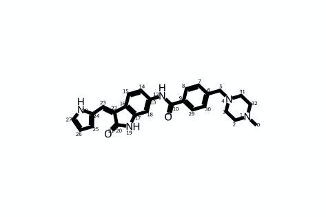 CN1CCN(Cc2ccc(C(=O)Nc3ccc4c(c3)NC(=O)C4=Cc3ccc[nH]3)cc2)CC1